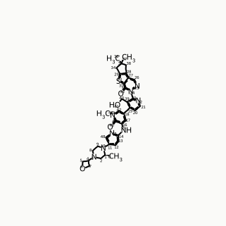 C[C@H]1CN(C2COC2)CCN1c1ccc(Nc2cc(-c3ccnc(-n4ncc5c6c(sc5c4=O)CC(C)(C)C6)c3CO)cn(C)c2=O)nc1